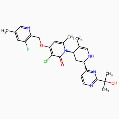 CC1=CN[C@@H](c2ccnc(C(C)(C)O)n2)C[C@H]1n1c(C)cc(OCc2ncc(C)cc2F)c(Cl)c1=O